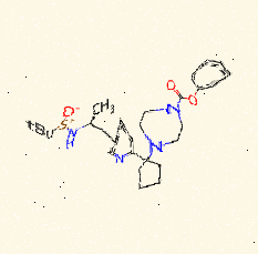 C[C@H](N[S+]([O-])C(C)(C)C)c1ccc(C2(N3CCN(C(=O)Oc4ccccc4)CC3)CCCC2)nc1